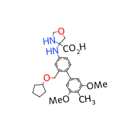 COc1cc(-c2ccc(NC3(C(=O)O)COCN3)cc2COC2CCCC2)cc(OC)c1C